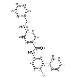 O=C(Nc1ccc(I)c(-c2ccccn2)c1)c1ccc(NCc2ccccc2)nc1